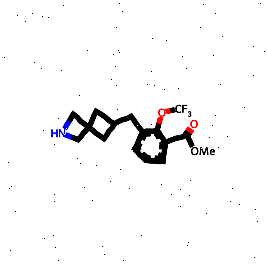 COC(=O)c1cccc(CC2CC3(CNC3)C2)c1OC(F)(F)F